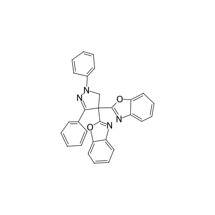 c1ccc(C2=NN(c3ccccc3)CC2(c2nc3ccccc3o2)c2nc3ccccc3o2)cc1